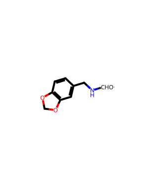 O=[C]NCc1ccc2c(c1)OCO2